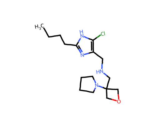 CCCCc1nc(CNCC2(N3CCCC3)COC2)c(Cl)[nH]1